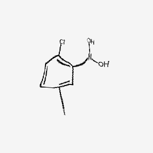 ON(O)c1cc(I)ccc1Cl